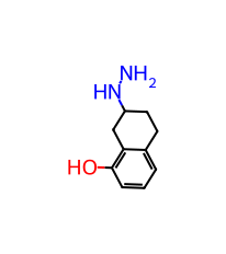 NNC1CCc2cccc(O)c2C1